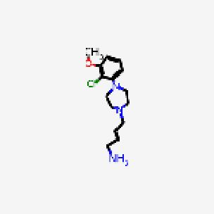 COc1cccc(N2CCN(CCCCN)CC2)c1Cl